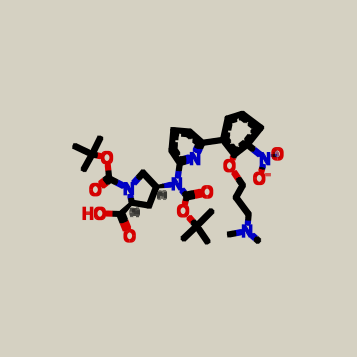 CN(C)CCCOc1c(-c2cccc(N(C(=O)OC(C)(C)C)[C@H]3C[C@@H](C(=O)O)N(C(=O)OC(C)(C)C)C3)n2)cccc1[N+](=O)[O-]